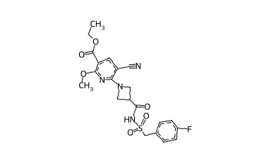 CCOC(=O)c1cc(C#N)c(N2CC(C(=O)NS(=O)(=O)Cc3ccc(F)cc3)C2)nc1OC